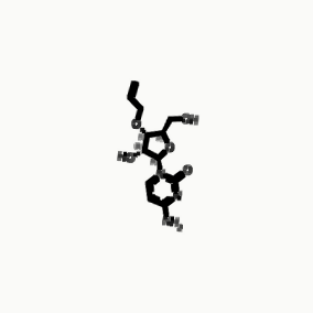 C=CCO[C@H]1[C@@H](O)[C@H](n2ccc(N)nc2=O)O[C@@H]1CO